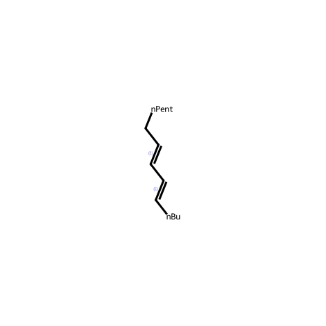 [CH2]CCC/C=C/C=C/CCCCCC